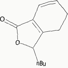 CCCCC1OC(=O)C2=C1CCC=C2